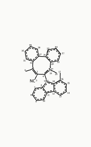 C/C1=C(C#N)/C(n2c3ccccc3c3cccc(C)c32)=[N+](/C)c2ccccc2-c2ccccc21